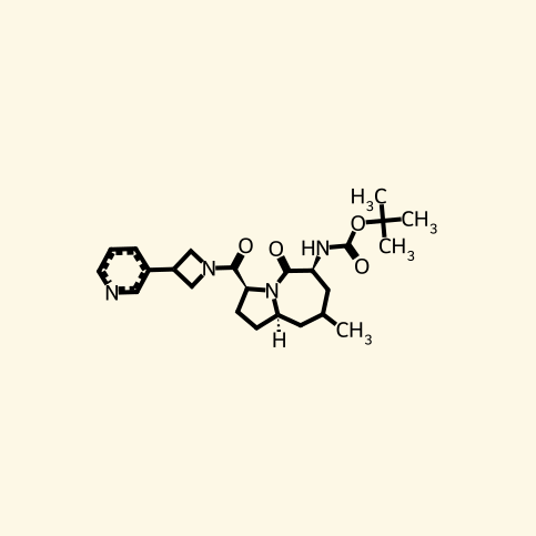 CC1C[C@H]2CC[C@@H](C(=O)N3CC(c4cccnc4)C3)N2C(=O)[C@@H](NC(=O)OC(C)(C)C)C1